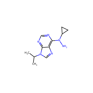 CC(C)n1cnc2c(N(N)C3CC3)ncnc21